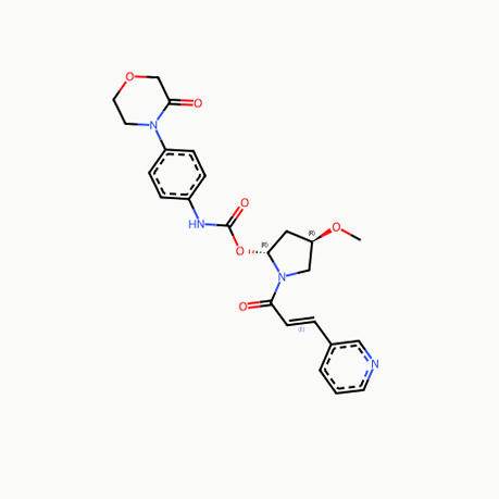 CO[C@@H]1C[C@@H](OC(=O)Nc2ccc(N3CCOCC3=O)cc2)N(C(=O)/C=C/c2cccnc2)C1